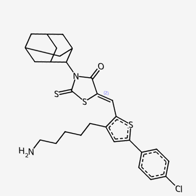 NCCCCCc1cc(-c2ccc(Cl)cc2)sc1/C=C1\SC(=S)N(C2C3CC4CC(C3)CC2C4)C1=O